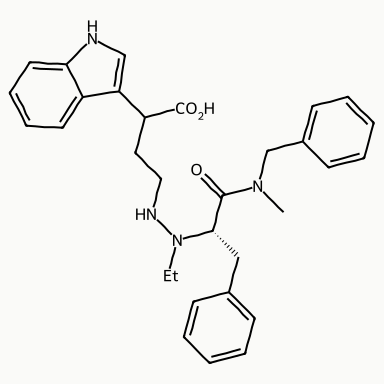 CCN(NCCC(C(=O)O)c1c[nH]c2ccccc12)[C@@H](Cc1ccccc1)C(=O)N(C)Cc1ccccc1